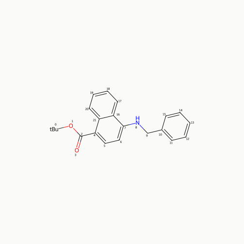 CC(C)(C)OC(=O)c1ccc(NCc2ccccc2)c2ccccc12